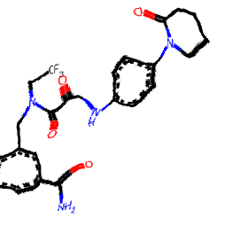 NC(=O)c1cccc(CN(CC(F)(F)F)C(=O)C(=O)Nc2ccc(N3CCCCC3=O)cc2)c1